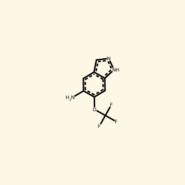 Nc1cc2cn[nH]c2cc1OC(F)(F)F